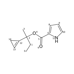 CCC(C)(OC(=O)c1ccc[nH]1)C1=CC1